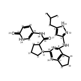 CC(C)Cc1cc(Nc2nc(N3CCCC3C(=O)Nc3ccc(=O)[nH]c3)nc3c2CCC3)n[nH]1